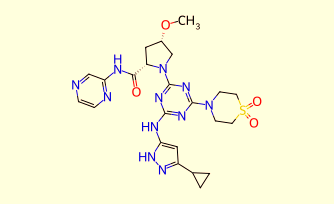 CO[C@H]1C[C@@H](C(=O)Nc2cnccn2)N(c2nc(Nc3cc(C4CC4)n[nH]3)nc(N3CCS(=O)(=O)CC3)n2)C1